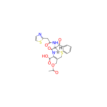 CC(=O)OCC1=C(C(=O)O)N2C(=O)[C@@](NC(=O)Cc3nccs3)(C(=O)c3ccccc3)[C@H]2SC1